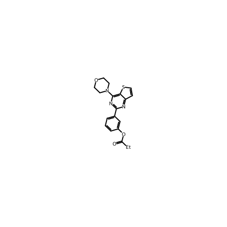 CCC(=O)Oc1cccc(-c2nc(N3CCOCC3)c3sccc3n2)c1